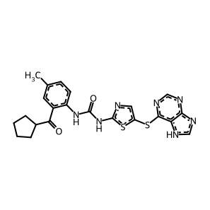 Cc1ccc(NC(=O)Nc2ncc(Sc3ncnc4nc[nH]c34)s2)c(C(=O)C2CCCC2)c1